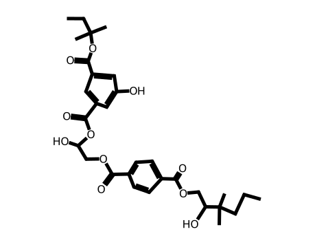 CCCC(C)(C)C(O)COC(=O)c1ccc(C(=O)OCC(O)OC(=O)c2cc(O)cc(C(=O)OC(C)(C)CC)c2)cc1